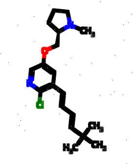 CN1CCC[C@@H]1COc1cnc(Cl)c(/C=C/C=C/C(C)(C)C)c1